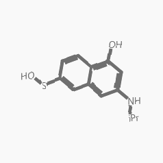 CC(C)Nc1cc(O)c2ccc(SO)cc2c1